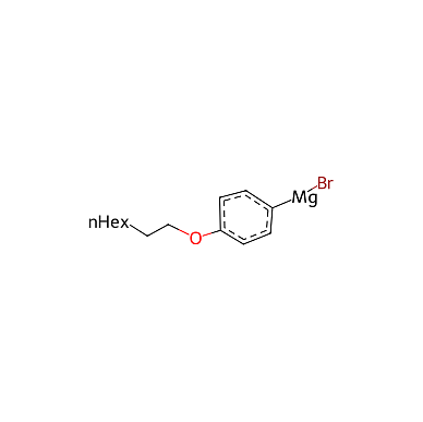 CCCCCCCCOc1cc[c]([Mg][Br])cc1